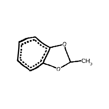 CC1Oc2ccccc2O1